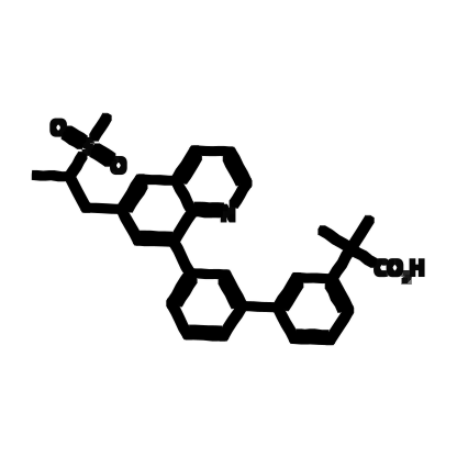 CC(Cc1cc(-c2cccc(-c3cccc(C(C)(C)C(=O)O)c3)c2)c2ncccc2c1)S(C)(=O)=O